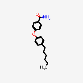 CCCCCCc1ccc(Oc2ccc(C(N)=O)cc2)cc1